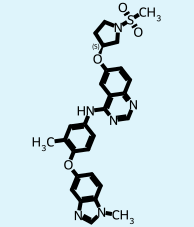 Cc1cc(Nc2ncnc3ccc(O[C@H]4CCN(S(C)(=O)=O)C4)cc23)ccc1Oc1ccc2c(c1)ncn2C